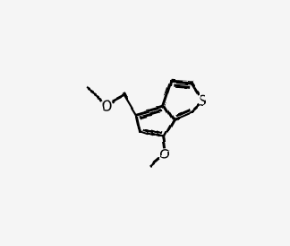 COCc1cc(OC)c2csccc1-2